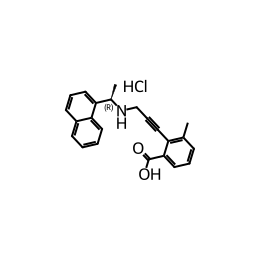 Cc1cccc(C(=O)O)c1C#CCN[C@H](C)c1cccc2ccccc12.Cl